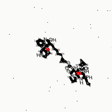 C=CC1PC1(NC(=O)[C@@H]1CCCN1C(=O)[C@@H](NC(=O)OC1C[C@H]1CCCCCc1c(O)nc2ccccc2c1OC1C2CNCC1COC2)C(C)(C)C)C(=O)NS(=O)(=O)C1(C)CC1